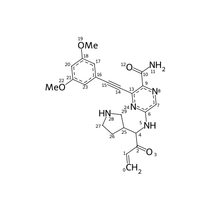 C=CC(=O)C(Nc1cnc(C(N)=O)c(C#Cc2cc(OC)cc(OC)c2)n1)C1CCNC1